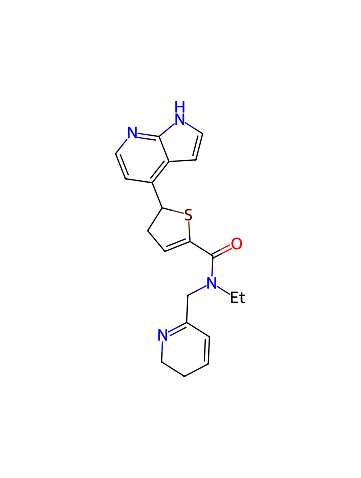 CCN(CC1=NCCC=C1)C(=O)C1=CCC(c2ccnc3[nH]ccc23)S1